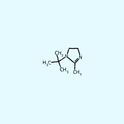 CC1=NCCN1C(C)(C)C